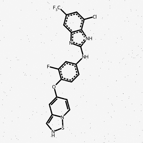 Fc1cc(Nc2nc3cc(C(F)(F)F)cc(Cl)c3[nH]2)ccc1OC1=CC2=CNSN2C=C1